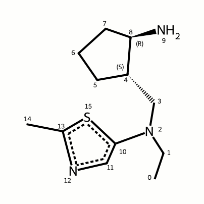 CCN(C[C@@H]1CCC[C@H]1N)c1cnc(C)s1